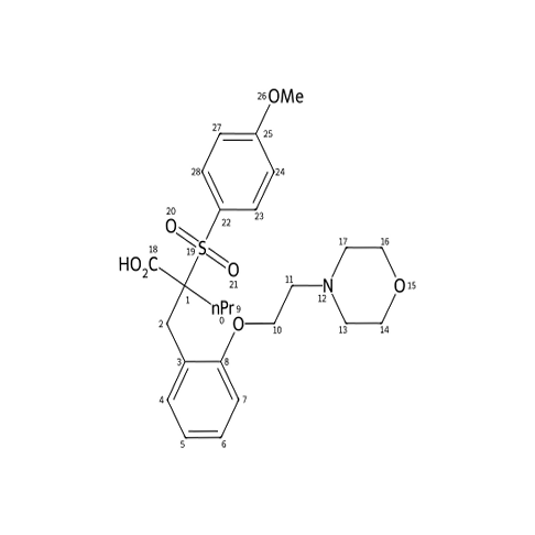 CCCC(Cc1ccccc1OCCN1CCOCC1)(C(=O)O)S(=O)(=O)c1ccc(OC)cc1